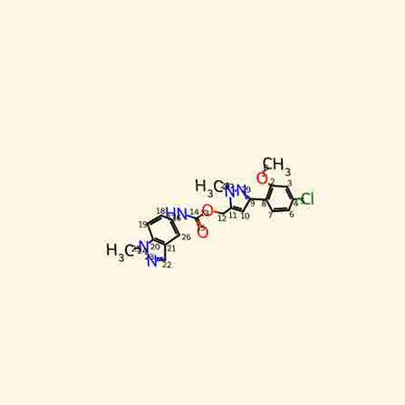 COc1cc(Cl)ccc1-c1cc(COC(=O)Nc2ccc3c(cnn3C)c2)n(C)n1